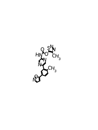 Cc1ccc(-c2ccno2)cc1-c1cnc(NC(=O)Oc2snnc2C)cn1